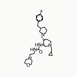 O=C(NCCN1CCOCC1)N[C@H]1CN(CC2CC2)CC[C@H]1CN1CCCC(Cc2ccc(F)cc2)C1